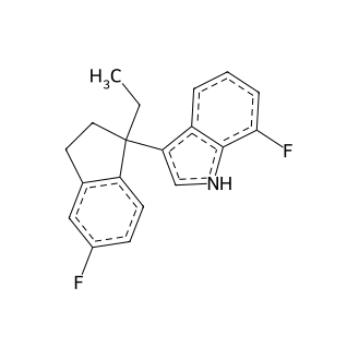 CCC1(c2c[nH]c3c(F)cccc23)CCc2cc(F)ccc21